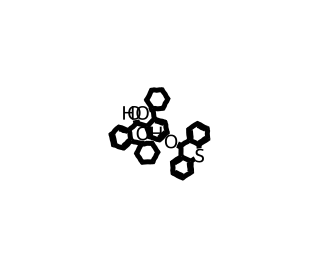 O=C(c1ccccc1C1(O)CCCCC1)c1ccccc1C1(O)CCCCC1.O=c1c2ccccc2sc2ccccc12